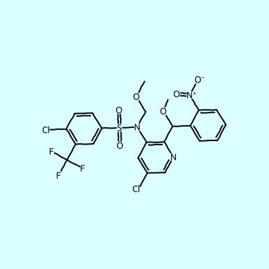 COCN(c1cc(Cl)cnc1C(OC)c1ccccc1[N+](=O)[O-])S(=O)(=O)c1ccc(Cl)c(C(F)(F)F)c1